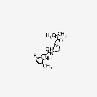 Cc1ccc(F)c2cc(C(=O)NC3CCCN(CC(=O)N(C)C)C3)[nH]c12